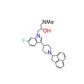 CNC[C@@H](O)Cn1cc(C2CCN(C3Cc4cccc5cccc3c45)CC2)c2ccc(F)cc21